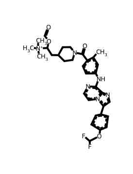 Cc1cc(Nc2nccn3c(-c4ccc(OC(F)F)cc4)cnc23)ccc1C(=O)N1CCC(CC(OC=O)[N+](C)(C)C)CC1